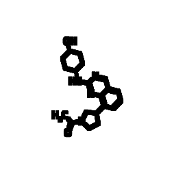 CC(=O)N1CCC(c2cccc3cnc(N[C@H]4CC[C@H](O)CC4)nc23)C1